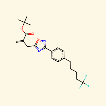 C=C(Cc1nc(-c2ccc(CCCCC(F)(F)F)cc2)no1)C(=O)OC(C)(C)C